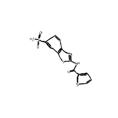 CS(=O)(=O)c1ccc2nc(NC(=O)c3cccs3)sc2c1